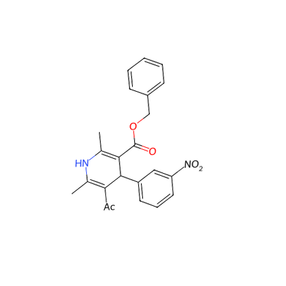 CC(=O)C1=C(C)NC(C)=C(C(=O)OCc2ccccc2)C1c1cccc([N+](=O)[O-])c1